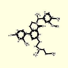 CCOc1cc([C@H](C)N2CCc3c(cc(CCN(C)CCO)cc3-c3ccc(F)nc3C)C2=O)ncc1C#N